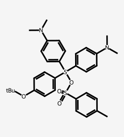 Cc1ccc(S(=O)(=O)OS(c2ccc(OC(C)(C)C)cc2)(c2ccc(N(C)C)cc2)c2ccc(N(C)C)cc2)cc1